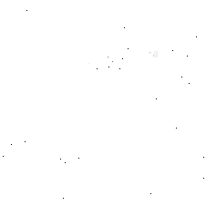 C=C(Nc1ccc(F)cc1N)c1ccc(C(C)=O)cc1